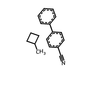 CC1CCC1.N#Cc1ccc(-c2ccccc2)cc1